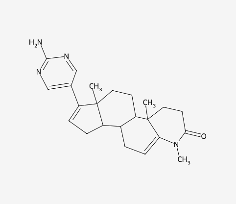 CN1C(=O)CCC2(C)C1=CCC1C3CC=C(c4cnc(N)nc4)C3(C)CCC12